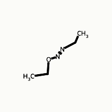 CCN=NOCC